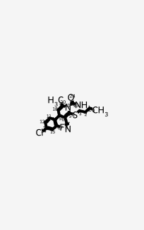 CCCCSC1=C(C#N)C(c2ccc(Cl)cc2F)C=C(C)N1C(N)=O